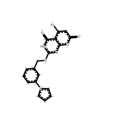 CCc1cc(=O)oc2nc(OCc3cccc(-n4cccc4)c3)[nH]c(=O)c12